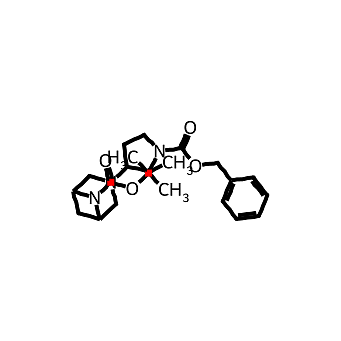 CC(C)(C)OC(=O)N1C2CC1CN(C1CCN(C(=O)OCc3ccccc3)C1)C2